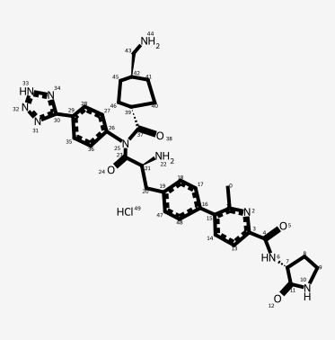 Cc1nc(C(=O)N[C@@H]2CCNC2=O)ccc1-c1ccc(C[C@H](N)C(=O)N(c2ccc(-c3nn[nH]n3)cc2)C(=O)[C@H]2CC[C@H](CN)CC2)cc1.Cl